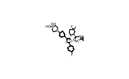 N#CC1(NC(=O)[C@@H]2CC(F)(F)CC[C@H]2c2oc(-c3ccc(F)cc3)nc2-c2ccc(N3CCS(O)(O)CC3)cc2)CC1